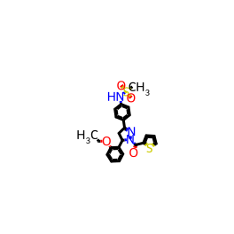 CCOc1ccccc1C1CC(c2ccc(NS(C)(=O)=O)cc2)=NN1C(=O)c1cccs1